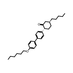 CCCCCCOc1ccc(-c2ccc([C@H]3CC[C@H](CCCCC)CC3=O)cc2)cc1